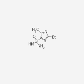 CCc1nc(C)c(S(=N)(N)=O)s1